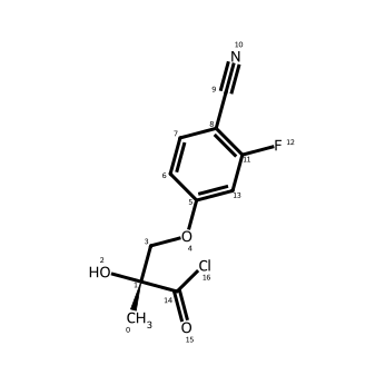 C[C@@](O)(COc1ccc(C#N)c(F)c1)C(=O)Cl